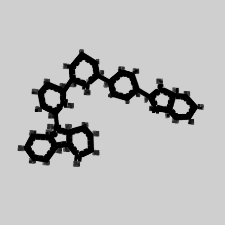 c1cc(-c2ccc(-c3nc4ccccc4s3)cc2)nc(-c2cccc(-n3c4ccccc4c4ncccc43)n2)c1